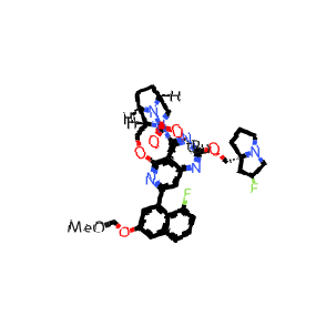 COCOc1cc(-c2cc3nc(OC[C@]45CCCN4C[C@@H](F)C5)nc4c3c(n2)OC[C@@H]2[C@@H]3CC[C@H](CN42)N3C(=O)OC(C)(C)C)c2c(F)cccc2c1